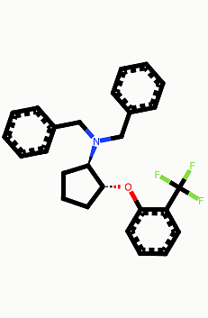 FC(F)(F)c1ccccc1O[C@@H]1CCC[C@H]1N(Cc1ccccc1)Cc1ccccc1